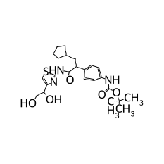 CC(C)(C)OC(=O)Nc1ccc(C(CC2CCCC2)C(=O)Nc2nc(C(O)CO)cs2)cc1